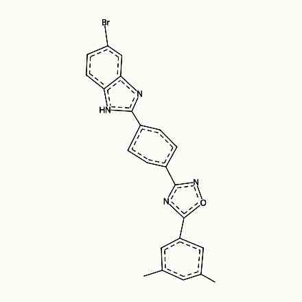 Cc1cc(C)cc(-c2nc(-c3ccc(-c4nc5cc(Br)ccc5[nH]4)cc3)no2)c1